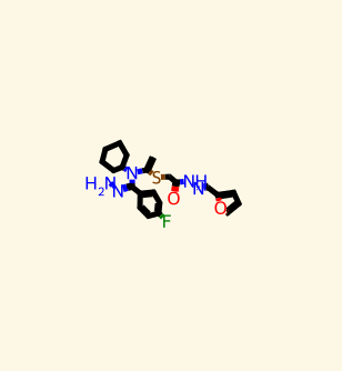 C=C(SCC(=O)N/N=C/c1ccco1)N(/C(=N\N)c1ccc(F)cc1)C1CCCCC1